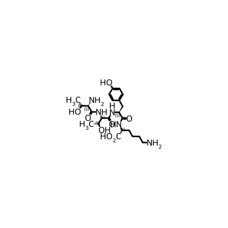 C[C@@H](O)[C@H](N)C(=O)N[C@H](C(=O)N[C@@H](Cc1ccc(O)cc1)C(=O)N[C@@H](CCCCN)C(=O)O)[C@@H](C)O